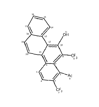 CC(=O)c1c(C(F)(F)F)ccc2c1c(C(F)(F)F)c(O)c1c3ccccc3ccc21